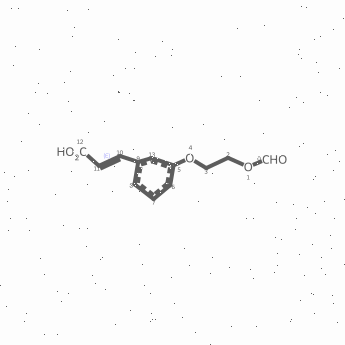 O=COCCOc1cccc(/C=C/C(=O)O)c1